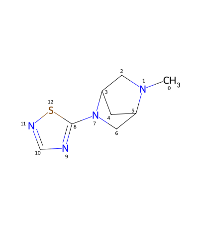 CN1CC2CC1CN2c1ncns1